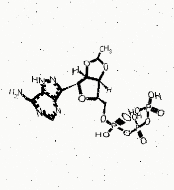 CC1O[C@@H]2[C@H](O1)[C@@H](COP(=O)(O)OP(=O)(O)OP(=O)(O)O)O[C@H]2c1n[nH]c2c(N)ncnc12